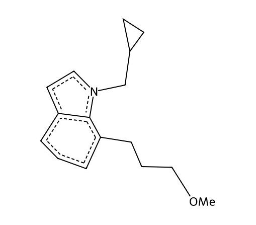 COCCCc1cccc2ccn(CC3CC3)c12